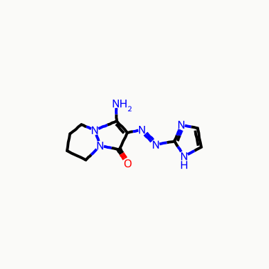 Nc1c(N=Nc2ncc[nH]2)c(=O)n2n1CCCC2